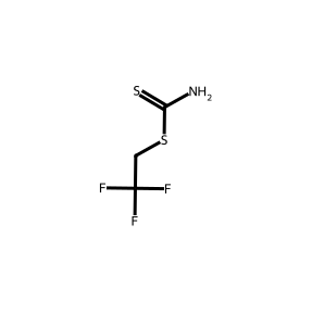 NC(=S)SCC(F)(F)F